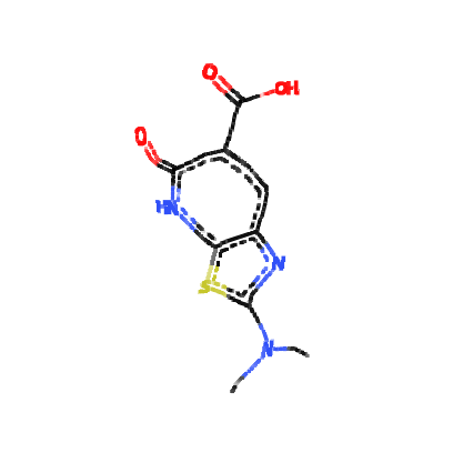 CN(C)c1nc2cc(C(=O)O)c(=O)[nH]c2s1